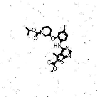 COC(=O)c1sc2ncnc(Nc3ccc(F)cc3OC3CCCN(C(=O)OC(C)C)C3)c2c1C